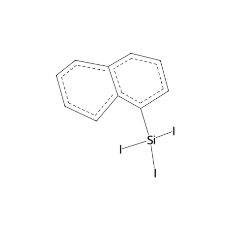 I[Si](I)(I)c1cccc2ccccc12